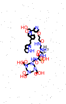 CC[C@H](NC(=O)C(CS(=O)(=O)O)NC(=O)CN1CCN(CC(=O)O)CCN(CC(=O)O)CCN(CC(=O)O)CC1)C(=O)NCCNC(=O)CCCOc1cncc(C(CC(=O)O)n2ccc3c(CCc4ccc5c(n4)NCCC5)cccc32)c1